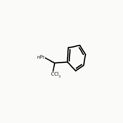 [CH2]CCC(c1ccccc1)C(Cl)(Cl)Cl